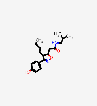 CCCCC1C(c2ccc(O)cc2)=NOC1CC(=O)NCC(C)C